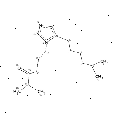 CC(C)CCCCc1cnnn1CCCC(=O)C(C)C